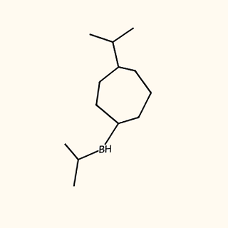 CC(C)BC1CCCC(C(C)C)CC1